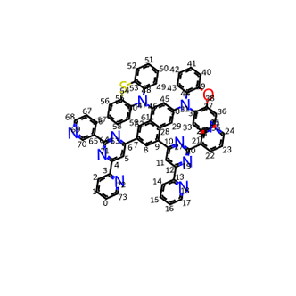 c1ccc(-c2cc(-c3cc(-c4cc(-c5ccccn5)nc(-c5cccnc5)n4)c4cc(N5c6ccccc6Oc6ccccc65)cc(N5c6ccccc6Sc6ccccc65)c4c3)nc(-c3cccnc3)n2)nc1